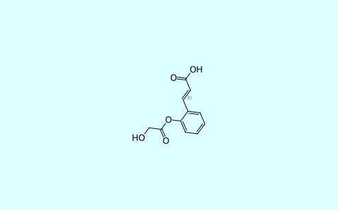 O=C(O)/C=C/c1ccccc1OC(=O)CO